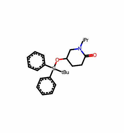 CC(C)N1CC(O[Si](c2ccccc2)(c2ccccc2)C(C)(C)C)CCC1=O